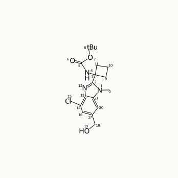 Cn1c(C2(NC(=O)OC(C)(C)C)CCC2)nc2c(Cl)cc(CO)cc21